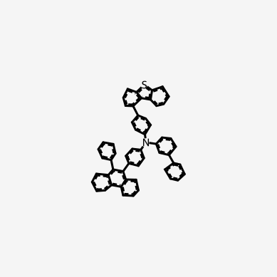 c1ccc(-c2cccc(N(c3ccc(-c4c(-c5ccccc5)c5ccccc5c5ccccc45)cc3)c3ccc(-c4cccc5sc6ccccc6c45)cc3)c2)cc1